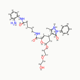 Cc1c(C2C=C(C(=O)NCCCCC(=O)Nc3ccccc3N)OC(OCCOCCO)C2)c(=O)n(-c2ccccc2)n1C